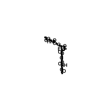 C=CC(=O)OCCNC(=O)OCCOCCOC(=O)C(C)CC(CC)C(=O)OCCOCCOC(=O)NCCOC(=O)C=C